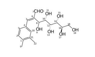 Cc1ccc(C=C([C]=O)C(O)[C@H](O)[C@@H](O)[C@H](O)[C@H](O)CO)cc1C